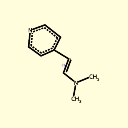 CN(C)/C=[C]/c1ccncc1